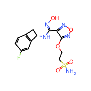 NS(=O)(=O)CCOc1nonc1/C(=N\O)N[C@H]1Cc2ccc(F)cc21